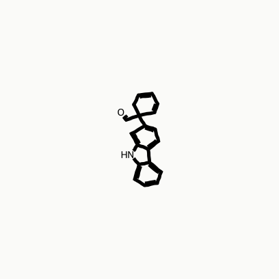 O=CC1(c2ccc3c(c2)[nH]c2ccccc23)C=CC=CC1